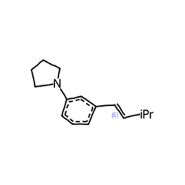 CC(C)/C=C/c1cccc(N2CCCC2)c1